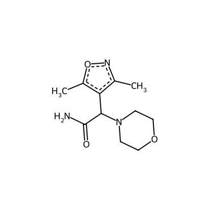 Cc1noc(C)c1C(C(N)=O)N1CCOCC1